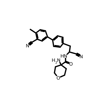 Cc1ccc(-c2ccc(CC(C#N)NC(=O)C3(N)CCOCC3)cc2)cc1C#N